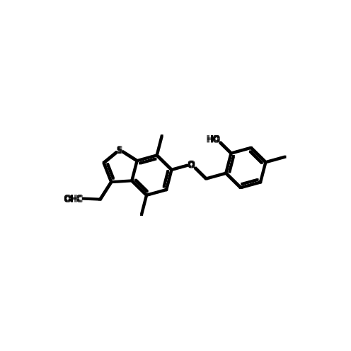 Cc1ccc(COc2cc(C)c3c(CC=O)csc3c2C)c(O)c1